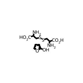 NC(CSSCC(N)C(=O)O)C(=O)O.Oc1ccco1